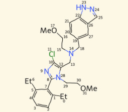 CCc1cccc(CC)c1-c1nc(Cl)c(CN(CCOC)Cc2ccc3[nH]ncc3c2)n1CCOC